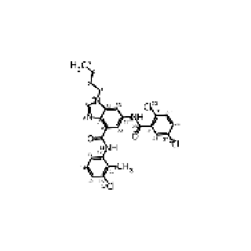 CCCCn1cnc2c(C(=O)Nc3cccc(Cl)c3C)cc(NC(=O)c3cc(Cl)ccc3Cl)cc21